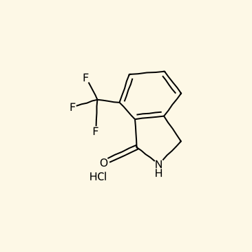 Cl.O=C1NCc2cccc(C(F)(F)F)c21